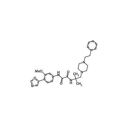 COc1cc(NC(=O)C(=O)NC(C)(C)CN2CCN(CCc3ccccc3)CC2)ccc1-c1cnco1